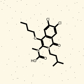 CCCCOc1c(N(C)C(=O)O)n(CCC(C)C)c(=O)c2cc(Cl)c(Cl)cc12